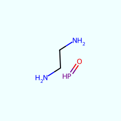 NCCN.O=P